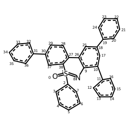 O=S1(c2ccccc2)=Nc2c(-c3ccccc3)cc(-c3ccccc3)cc2-c2ccc(-c3ccccc3)cc21